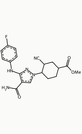 COC(=O)C1CCC(n2cc(C(N)=O)c(Nc3ccc(F)cc3)n2)C(C#N)C1